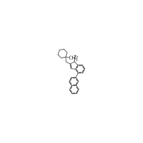 CC1(CC2=Cc3c(-c4ccc5ccccc5c4)cccc3[CH]2[Zr])CCCCC1